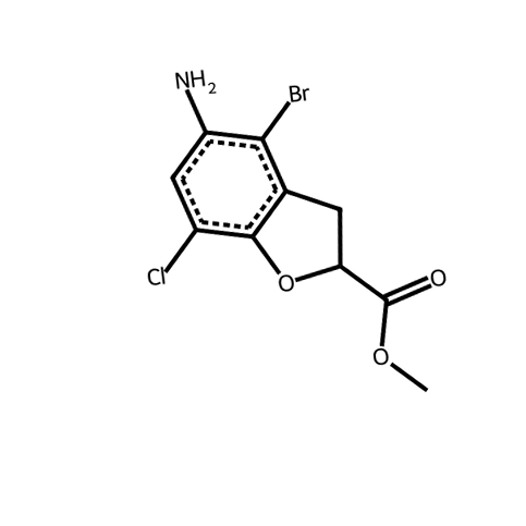 COC(=O)C1Cc2c(Br)c(N)cc(Cl)c2O1